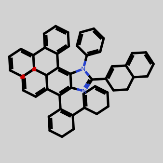 C1=CCCC(C2=C(C3=c4nc(C5=CC6=CC=CCC6CC5)n(-c5ccccc5)c4=C(c4ccccc4C4=CC=CCC4)C4CC=CC=C34)C=CCC2)=C1